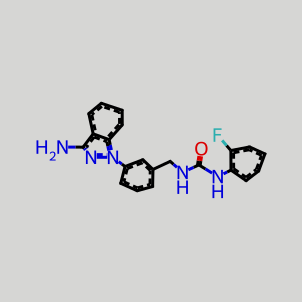 Nc1nn(-c2cccc(CNC(=O)Nc3ccccc3F)c2)c2ccccc12